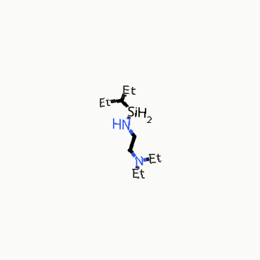 CCC(CC)[SiH2]NCCN(CC)CC